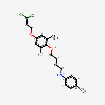 CCc1cc(OCC=C(Cl)Cl)cc(C)c1OCCCCNc1ccc(C(F)(F)F)cc1